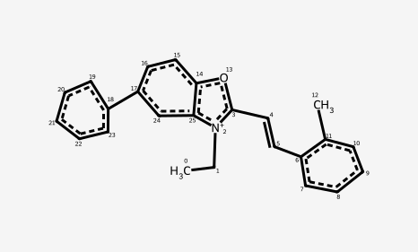 CC[n+]1c(C=Cc2ccccc2C)oc2ccc(-c3ccccc3)cc21